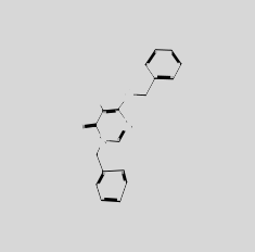 CCc1c(OCc2ccccc2)ncn(Cc2ccccc2)c1=O